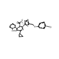 COc1ccccc1-c1cc(C2CC2)nc(-c2nnc(COc3ccc(Cl)cc3)s2)c1C(N)=O